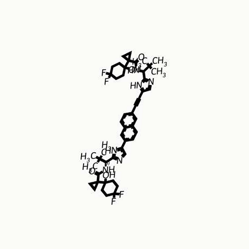 CC(C)(C)C(NC(=O)C1(C2(O)CCC(F)(F)CC2)CC1)c1ncc(C#Cc2ccc3cc(-c4cnc([C@@H](NC(=O)C5(C6(O)CCC(F)(F)CC6)CC5)C(C)(C)C)[nH]4)ccc3c2)[nH]1